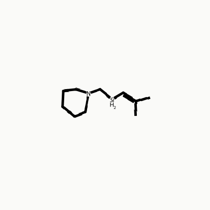 CC(C)=C[SiH2]CN1CCCCC1